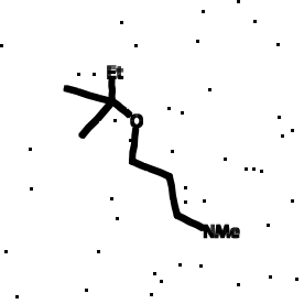 CCC(C)(C)OCCCNC